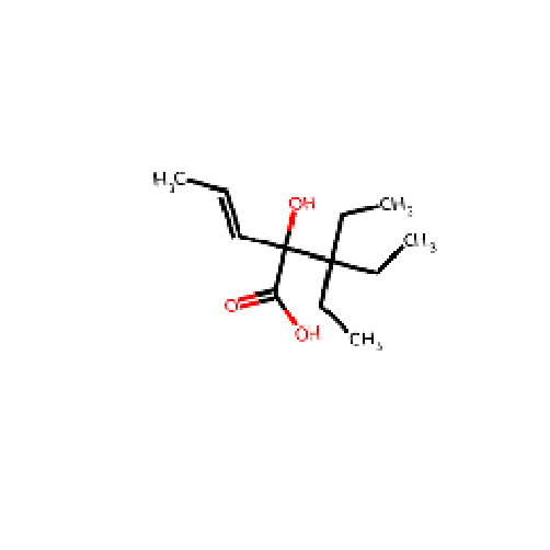 CC=CC(O)(C(=O)O)C(CC)(CC)CC